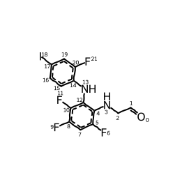 O=CCNc1c(F)cc(F)c(F)c1Nc1ccc(I)cc1F